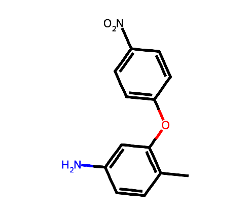 Cc1ccc(N)cc1Oc1ccc([N+](=O)[O-])cc1